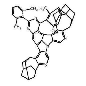 Cc1cccc(C)c1-c1nc(-c2c(C)cccc2C)c2c(cc3c4c5c(ncc4n4c6cnc7c(c6c2c34)C2CC3CC4CC7CC43C2)C2CC3CC(C2)CC5C3)n1